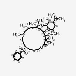 CO[C@]1(C)C[C@@H](C)CN(C)CCN(S(=O)(=O)c2ccccc2)CCCOC(=O)C(C)(C)C(O)[C@H](C)[C@H]1O[C@@H]1O[C@H](C)C[C@H](N(C)C)[C@H]1O